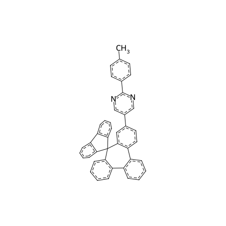 Cc1ccc(-c2ncc(-c3ccc4c(c3)C3(c5ccccc5-c5ccccc5-4)c4ccccc4-c4ccccc43)cn2)cc1